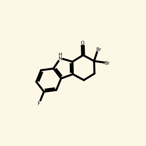 O=C1c2[nH]c3ccc(F)cc3c2CCC1(Br)Br